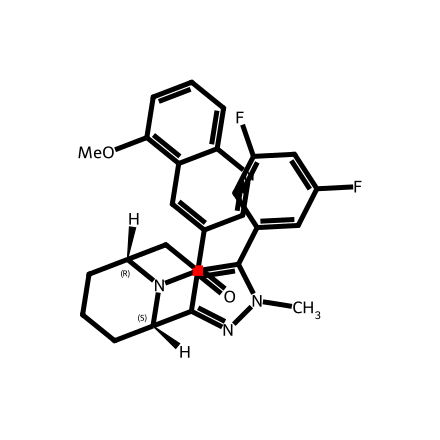 COc1cccc2ncc(C(=O)N3[C@@H]4CCC[C@H]3c3nn(C)c(-c5cc(F)cc(F)c5)c3C4)cc12